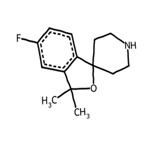 CC1(C)OC2(CCNCC2)c2ccc(F)cc21